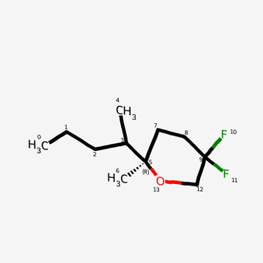 CCCC(C)[C@@]1(C)CCC(F)(F)CO1